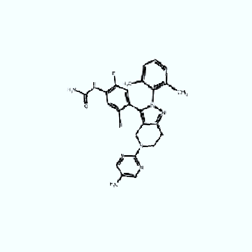 Cc1cccc(C)c1-n1nc2c(c1-c1cc(F)c(NC(N)=O)cc1F)CN(c1ncc(C(F)(F)F)cn1)CC2